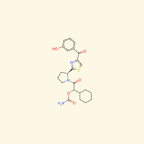 NC(=O)OC(C(=O)N1CCC[C@H]1c1nc(C(=O)c2cccc(O)c2)cs1)C1CCCCC1